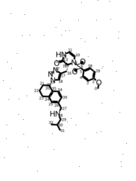 COc1ccc(S(=O)(=O)N2C=CNC(=O)[C@H]2Cc2cn([C@H]3CCCc4cc(CNCC(C)C)ccc43)nn2)cc1